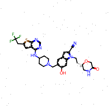 N#Cc1cc2cc(CN3CCC(Nc4ncnc5sc(CC(F)(F)F)cc45)CC3)c(O)cc2n1CC[C@H]1CNC(=O)CO1